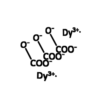 O=C([O-])[O-].O=C([O-])[O-].O=C([O-])[O-].[Dy+3].[Dy+3]